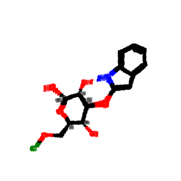 O[C@@H]1[C@@H](Oc2cc3ccccc3[nH]2)[C@H](O)[C@@H](COCl)O[C@@H]1O